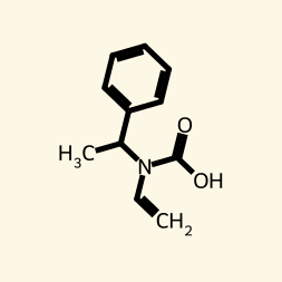 C=CN(C(=O)O)C(C)c1ccccc1